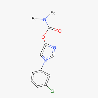 CCN(CC)C(=O)Oc1cn(-c2cccc(Cl)c2)cn1